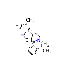 C/C=C\C(=C/C(C)C)c1ccnc(-c2ccccc2C(C)C)c1